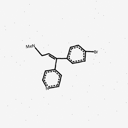 CNC/C=C(\c1ccncc1)c1ccc(Br)cc1